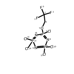 FC(F)(F)COP1(Cl)=NP(Cl)(Cl)=NP(Cl)(Cl)=N1